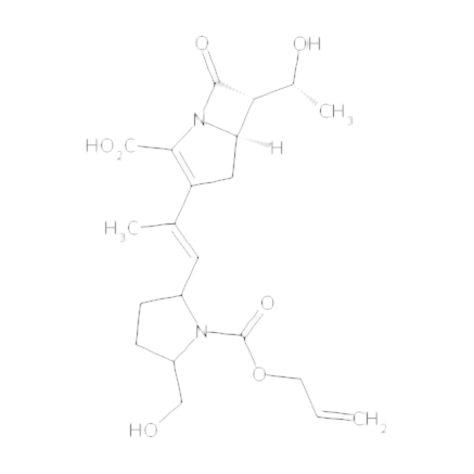 C=CCOC(=O)N1C(C=C(C)C2=C(C(=O)O)N3C(=O)[C@H]([C@@H](C)O)[C@H]3C2)CCC1CO